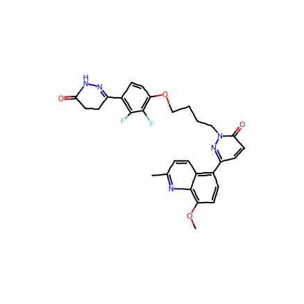 COc1ccc(-c2ccc(=O)n(CCCCOc3ccc(C4=NNC(=O)CC4)c(F)c3F)n2)c2ccc(C)nc12